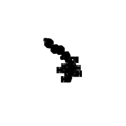 CN1CCN(c2ccc3cc(-c4ccc(/C=C(\C#N)C(=O)N[C@H]5C(O)O[C@H](CO)[C@@H](O)[C@@H]5O)n4C)ccc3c2)CC1